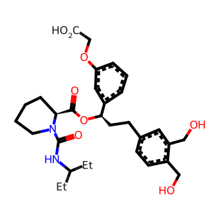 CCC(CC)NC(=O)N1CCCC[C@H]1C(=O)O[C@H](CCc1ccc(CO)c(CO)c1)c1cccc(OCC(=O)O)c1